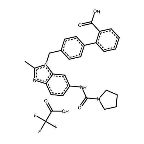 Cc1nc2ccc(NC(=O)N3CCCC3)cc2n1Cc1ccc(-c2ccccc2C(=O)O)cc1.O=C(O)C(F)(F)F